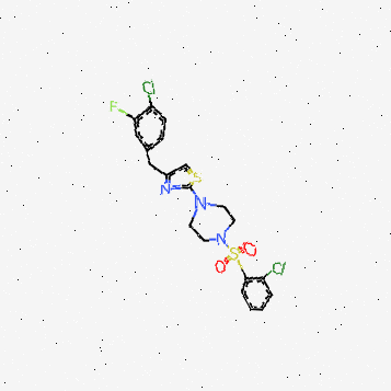 O=S(=O)(c1ccccc1Cl)N1CCN(c2nc(Cc3ccc(Cl)c(F)c3)cs2)CC1